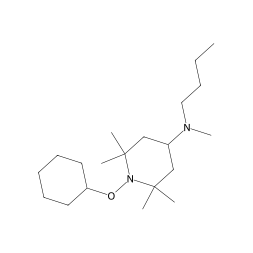 CCCCN(C)C1CC(C)(C)N(OC2CCCCC2)C(C)(C)C1